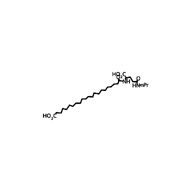 CCCNC(=O)CC[C@H](NC(=O)CCCCCCCCCCCCCCCCCCCCC(=O)O)C(=O)O